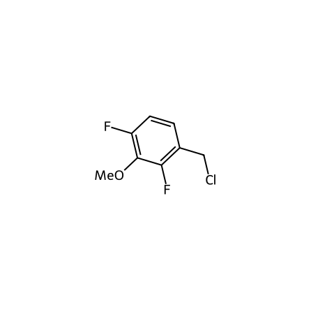 COc1c(F)ccc(CCl)c1F